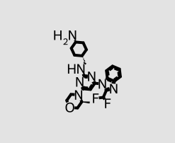 C[C@H]1COCCN1c1cc(-n2c(C(F)F)nc3ccccc32)nc(NC[C@H]2CC[C@H](N)CC2)n1